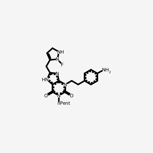 CCCCCn1c(=O)c2[nH]c(CC3=CCNN3F)nc2n(CCc2ccc(N)cc2)c1=O